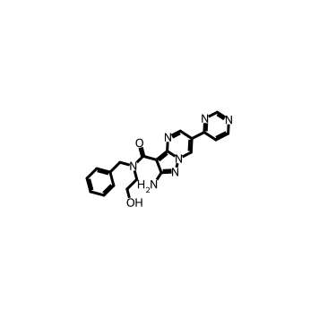 Nc1nn2cc(-c3ccncn3)cnc2c1C(=O)N(CCO)Cc1ccccc1